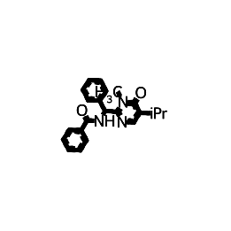 CC(C)c1cnc(C(NC(=O)c2ccccc2)c2ccccc2)n(C)c1=O